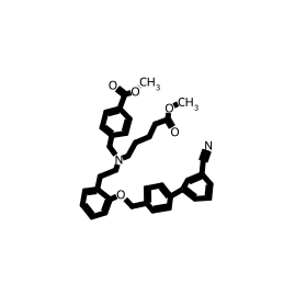 COC(=O)CCCCN(CCc1ccccc1OCc1ccc(-c2cccc(C#N)c2)cc1)Cc1ccc(C(=O)OC)cc1